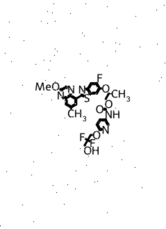 COc1cnc2c(-c3nc4cc(F)c(O[C@@H](C)COC(=O)Nc5ccc(OCC(F)(F)CO)nc5)cc4s3)cc(C)cc2n1